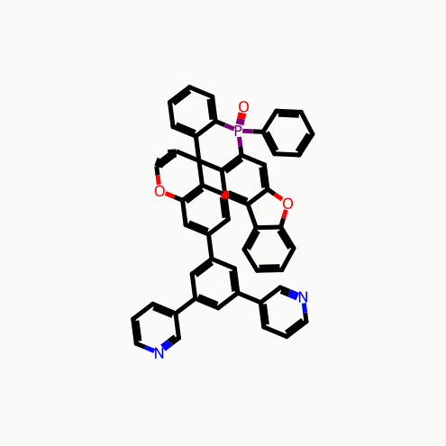 O=P1(c2ccccc2)c2ccccc2C2(c3ccccc3Oc3cc(-c4cc(-c5cccnc5)cc(-c5cccnc5)c4)ccc32)c2cc3c(cc21)oc1ccccc13